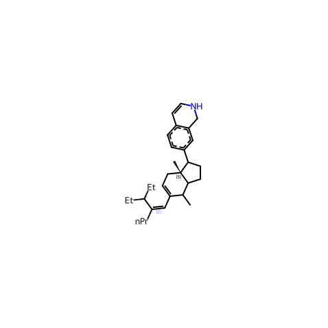 CCC/C(=C/C1=CC[C@]2(C)C(c3ccc4c(c3)CNC=C4)CCC2C1C)C(CC)CC